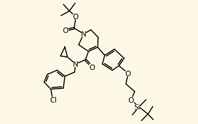 CC(C)(C)OC(=O)N1CCC(c2ccc(OCCO[Si](C)(C)C(C)(C)C)cc2)=C(C(=O)N(Cc2cccc(Cl)c2)C2CC2)C1